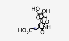 O=C(O)/C=C/c1cn([C@@H]2O[C@H](CO)[C@@H](O)C2I)c(=O)[nH]c1=O